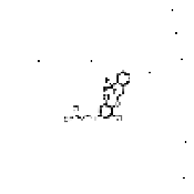 FC(F)(F)c1ccccc1CCOc1c(Cl)cc(OCC=C(Cl)Cl)cc1Cl